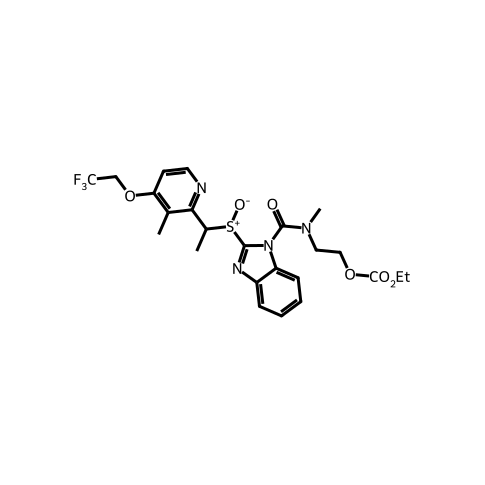 CCOC(=O)OCCN(C)C(=O)n1c([S+]([O-])C(C)c2nccc(OCC(F)(F)F)c2C)nc2ccccc21